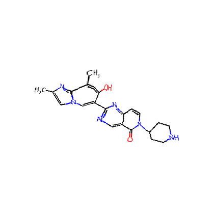 Cc1cn2cc(-c3ncc4c(=O)n(C5CCNCC5)ccc4n3)c(O)c(C)c2n1